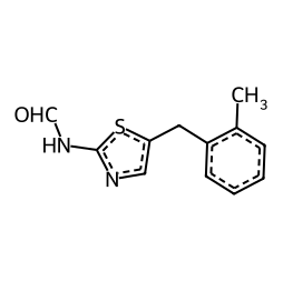 Cc1ccccc1Cc1cnc(NC=O)s1